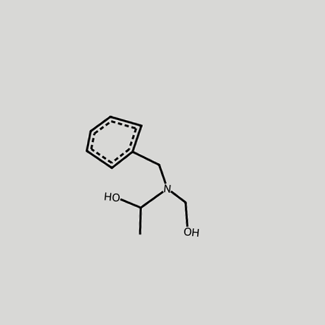 CC(O)N(CO)Cc1ccccc1